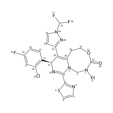 CCN1CN2C(c3nccs3)=N[C@@H](c3ccc(F)cc3Cl)C(c3ccn(C(F)F)n3)=C2CCOC1=O